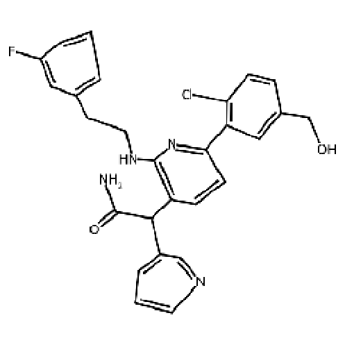 NC(=O)C(c1cccnc1)c1ccc(-c2cc(CO)ccc2Cl)nc1NCCc1cccc(F)c1